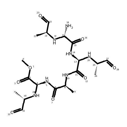 COC(=O)[C@@H](NC(=O)[C@H](C)NC(=O)[C@@H](NC(=O)[C@@H](N)N[C@@H](C)C=O)N[C@@H](C)C=O)N[C@@H](C)C=O